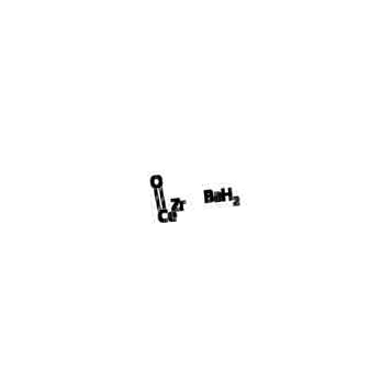 [BaH2].[O]=[Ce].[Zr]